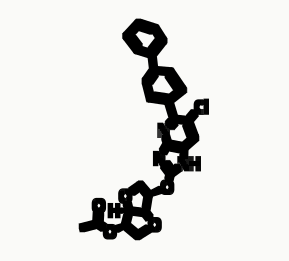 CC(=O)O[C@@H]1COC2[C@H](Oc3nc4nc(-c5ccc(-c6ccccc6)cc5)c(Cl)cc4[nH]3)CO[C@@H]21